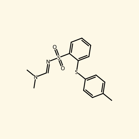 Cc1ccc(Sc2ccccc2S(=O)(=O)N=CN(C)C)cc1